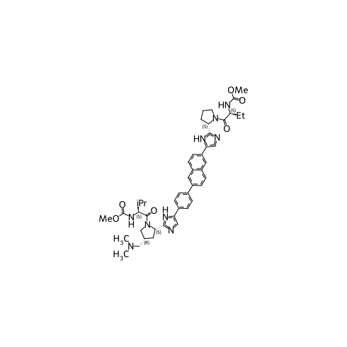 CC[C@H](NC(=O)OC)C(=O)N1CCC[C@H]1c1ncc(-c2ccc3cc(-c4ccc(-c5cnc([C@@H]6C[C@H](CN(C)C)CN6C(=O)[C@@H](NC(=O)OC)C(C)C)[nH]5)cc4)ccc3c2)[nH]1